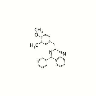 COc1ccc(CC(C#N)N=C(c2ccccc2)c2ccccc2)cc1C